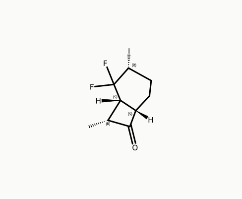 C[C@H]1C(=O)[C@H]2CC[C@@H](I)C(F)(F)[C@H]21